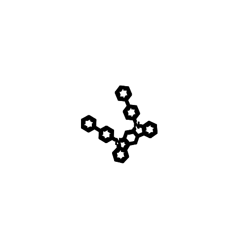 C1=C2C(Cc3c1n(-c1ccc(-c4ccccc4)cc1)c1ccccc31)c1ccccc1N2c1ccc(-c2ccccc2)cc1